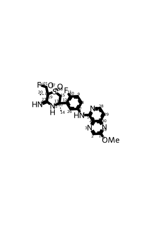 COc1cnc2c(Nc3ccc(F)c([C@]4(C)CS(=O)(=O)[C@](C)(CF)C(=N)N4)c3)nccc2n1